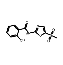 CS(=O)(=O)c1cnc(NC(=O)c2ccccc2O)s1